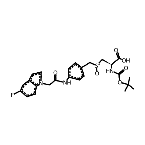 CC(C)(C)OC(=O)N[C@@H](C[S+]([O-])Cc1ccc(NC(=O)Cn2ccc3cc(F)ccc32)cc1)C(=O)O